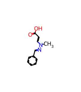 CN(C=CC(=O)O)N=Cc1ccccc1